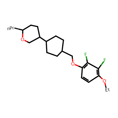 CCCC1CCC(C2CCC(COc3ccc(OCC)c(F)c3F)CC2)CO1